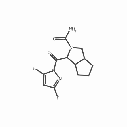 NC(=O)N1CC2CCCC2C1C(=O)n1nc(F)cc1F